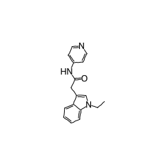 CCn1cc(CC(=O)Nc2ccncc2)c2ccccc21